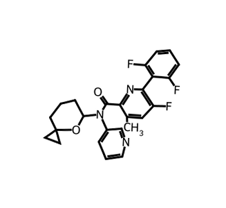 Cc1cc(F)c(-c2c(F)cccc2F)nc1C(=O)N(c1cccnc1)C1CCCC2(CC2)O1